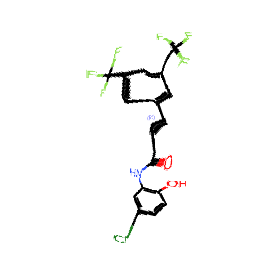 O=C(/C=C/c1cc(C(F)(F)F)cc(C(F)(F)F)c1)Nc1cc(Cl)ccc1O